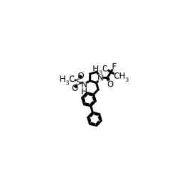 CC(C)(F)C(=O)N1CCC(NS(C)(=O)=O)C1Cc1cccc(-c2ccccc2)c1